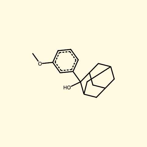 COc1cccc(C2(O)C3CC4CC(C3)CC2C4)c1